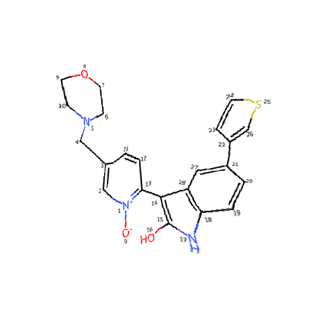 [O-][n+]1cc(CN2CCOCC2)ccc1-c1c(O)[nH]c2ccc(-c3ccsc3)cc12